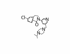 CC(C)N1CCN(Cc2cncc(N3CCc4cc(Cl)ccc4C3=O)c2)CC1